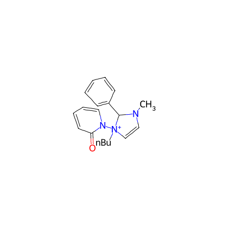 CCCC[N+]1(n2ccccc2=O)C=CN(C)C1c1ccccc1